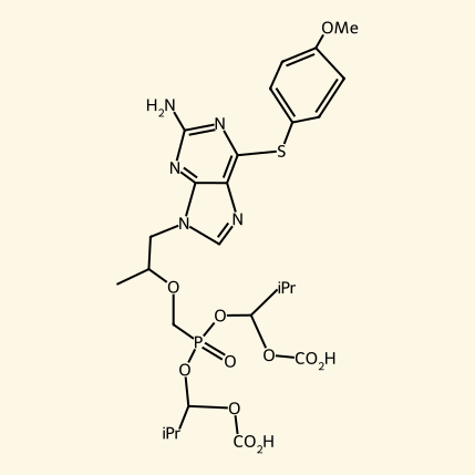 COc1ccc(Sc2nc(N)nc3c2ncn3CC(C)OCP(=O)(OC(OC(=O)O)C(C)C)OC(OC(=O)O)C(C)C)cc1